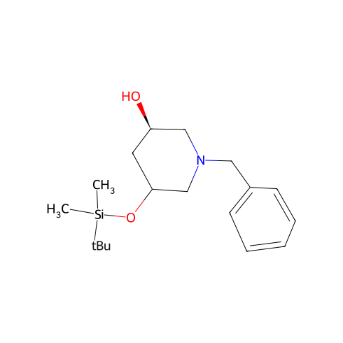 CC(C)(C)[Si](C)(C)OC1C[C@@H](O)CN(Cc2ccccc2)C1